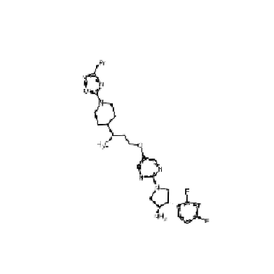 CC(C)c1noc(N2CCC([C@H](C)CCOc3cnc(N4C[C@H](c5ccc(F)cc5F)[C@@H](N)C4)nc3)CC2)n1